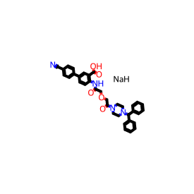 N#Cc1ccc(-c2ccc(NC(=O)COCC(=O)N3CCN(C(c4ccccc4)c4ccccc4)CC3)c(C(=O)O)c2)cc1.[NaH]